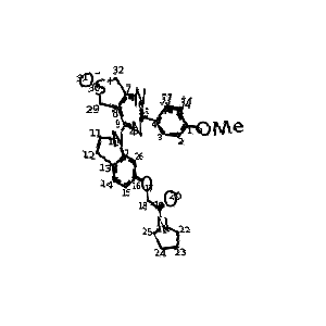 COc1ccc(-c2nc3c(c(N4CCc5ccc(OCC(=O)N6CCCC6)cc54)n2)C[S+]([O-])C3)cc1